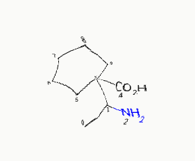 CC(N)C1(C(=O)O)CCCCC1